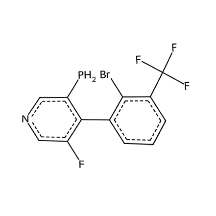 Fc1cncc(P)c1-c1cccc(C(F)(F)F)c1Br